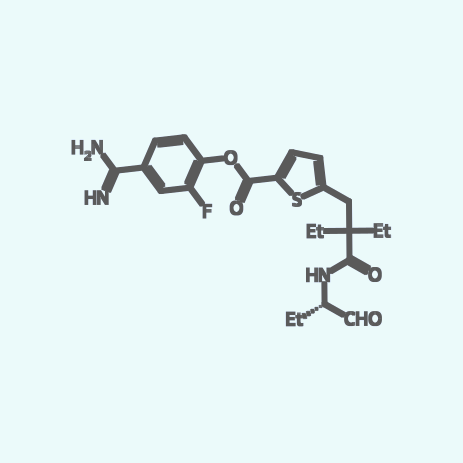 CC[C@@H](C=O)NC(=O)C(CC)(CC)Cc1ccc(C(=O)Oc2ccc(C(=N)N)cc2F)s1